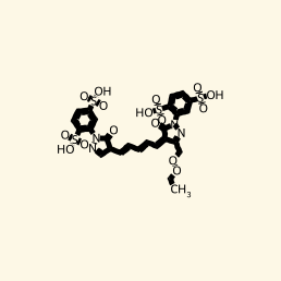 CCOOCC1=NN(c2cc(S(=O)(=O)O)ccc2S(=O)(=O)O)C(=O)C1=CC=CC=CC1C=NN(c2cc(S(=O)(=O)O)ccc2S(=O)(=O)O)C1=O